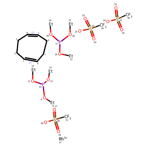 C1=C\CC/C=C\CC/1.CCOP(OCC)OCC.CCOP(OCC)OCC.O=S(=O)([O-])C(F)(F)F.O=S(=O)([O-])C(F)(F)F.O=S(=O)([O-])C(F)(F)F.[Rh+3]